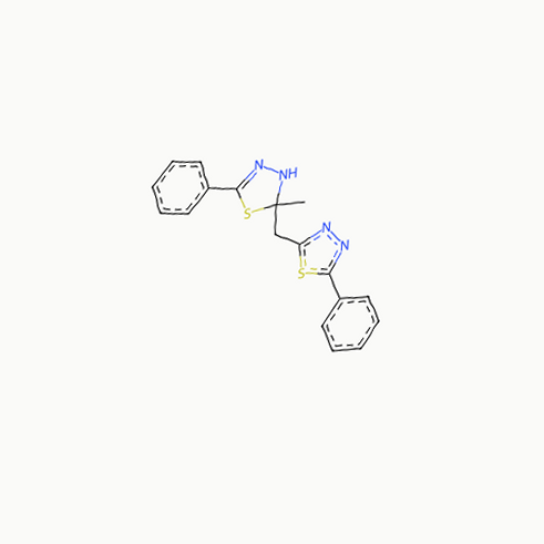 CC1(Cc2nnc(-c3ccccc3)s2)NN=C(c2ccccc2)S1